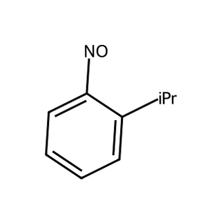 CC(C)c1ccccc1N=O